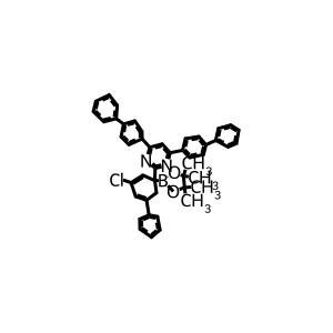 CC1(C)OB(C2(c3nc(-c4ccc(-c5ccccc5)cc4)cc(-c4ccc(-c5ccccc5)cc4)n3)C=C(Cl)C=C(c3ccccc3)C2)OC1(C)C